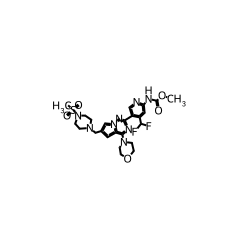 COC(=O)Nc1cc(C(F)F)c(-c2nc(N3CCOCC3)c3cc(CN4CCN(S(C)(=O)=O)CC4)cn3n2)cn1